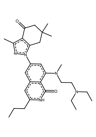 CCCc1cc2cc(-n3nc(C)c4c3CC(C)(C)CC4=O)cc(N(C)CCN(CC)CC)c2c(=O)[nH]1